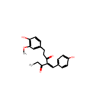 CCC(=O)C(=Cc1ccc(O)cc1)C(=O)CCc1ccc(O)c(OC)c1